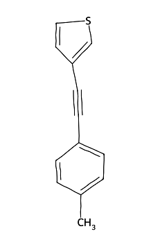 Cc1ccc(C#Cc2ccsc2)cc1